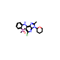 Cc1nc2c(Nc3ccccc3P(C)(C)=O)cc(Cl)nc2n1C1CCCCO1